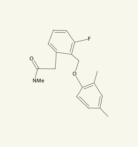 CNC(=O)Cc1cccc(F)c1COc1ccc(C)cc1C